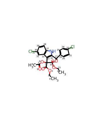 CCOC(=O)C(OC(C)=O)(C(=O)OCC)c1c(C(=O)c2ccc(Cl)cc2)[nH]c2ccc(Cl)cc12